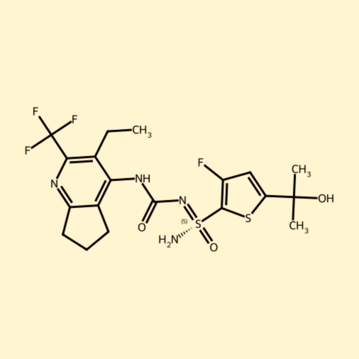 CCc1c(C(F)(F)F)nc2c(c1NC(=O)N=[S@](N)(=O)c1sc(C(C)(C)O)cc1F)CCC2